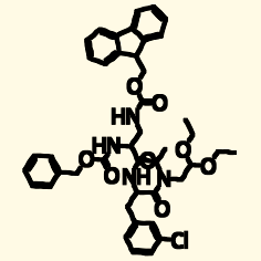 CCOC(CN(C(=O)C(Cc1cccc(Cl)c1)NC(=O)C(CNC(=O)OCC1c2ccccc2-c2ccccc21)NC(=O)OCc1ccccc1)C(C)C)OCC